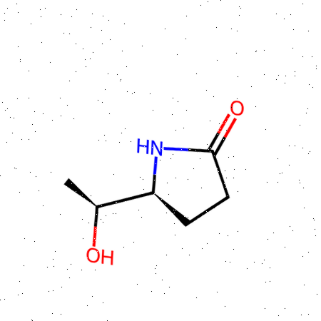 C[C@H](O)[C@@H]1CCC(=O)N1